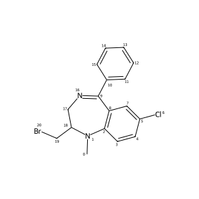 CN1c2ccc(Cl)cc2C(c2ccccc2)=NCC1CBr